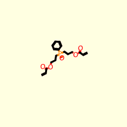 C=CC(=O)OCCCP(=O)(CCCOC(=O)C=C)c1ccccc1